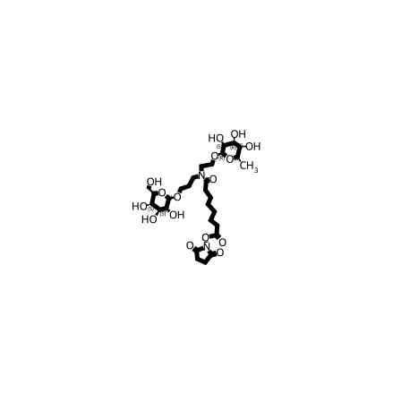 C[C@@H]1O[C@@H](OCCN(CCCO[C@@H]2O[C@H](CO)[C@@H](O)[C@H](O)[C@@H]2O)C(=O)CCCCCCC(=O)ON2C(=O)CCC2=O)[C@@H](O)[C@H](O)[C@@H]1O